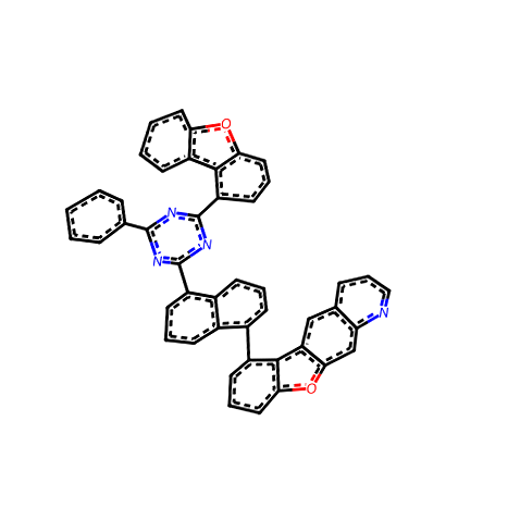 c1ccc(-c2nc(-c3cccc4c(-c5cccc6oc7cc8ncccc8cc7c56)cccc34)nc(-c3cccc4oc5ccccc5c34)n2)cc1